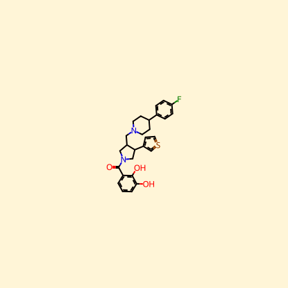 O=C(c1cccc(O)c1O)N1CC(CN2CCC(c3ccc(F)cc3)CC2)C(c2ccsc2)C1